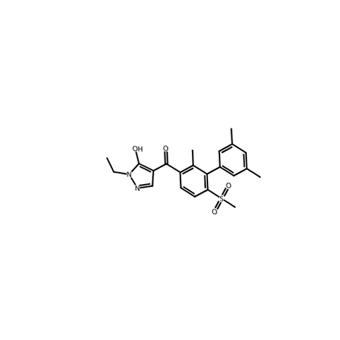 CCn1ncc(C(=O)c2ccc(S(C)(=O)=O)c(-c3cc(C)cc(C)c3)c2C)c1O